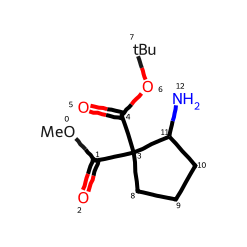 COC(=O)C1(C(=O)OC(C)(C)C)CCCC1N